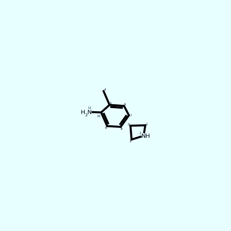 C1CNC1.Cc1ccccc1N